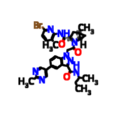 CCC(C)NC(=O)c1nn(CC(=O)N2[C@H](C(=O)Nc3nc(Br)ccc3C)C[C@@]3(C)C[C@@H]23)c2ccc(-c3cnc(C)nc3)cc12